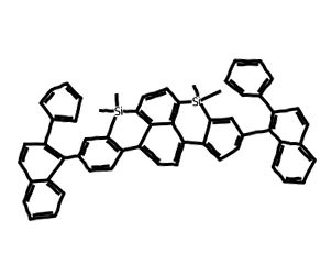 C[Si]1(C)c2cc(-c3c(-c4ccccc4)ccc4ccccc34)ccc2-c2ccc3c4c(ccc1c24)[Si](C)(C)c1cc(-c2c(-c4ccccc4)ccc4ccccc24)ccc1-3